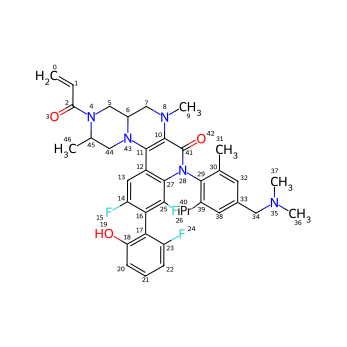 C=CC(=O)N1CC2CN(C)c3c(c4cc(F)c(-c5c(O)cccc5F)c(F)c4n(-c4c(C)cc(CN(C)C)cc4C(C)C)c3=O)N2CC1C